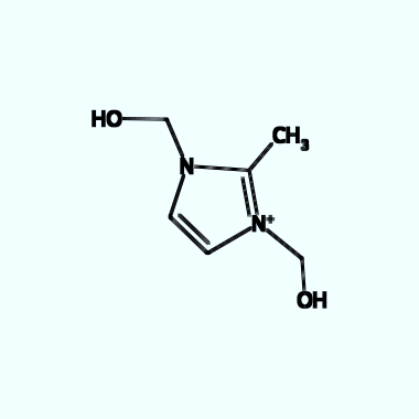 Cc1n(CO)cc[n+]1CO